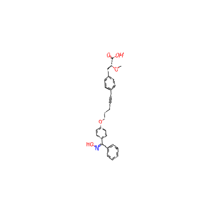 CO[C@@H](Cc1ccc(C#CCCCOc2ccc(/C(=N\O)c3ccccc3)cc2)cc1)C(=O)O